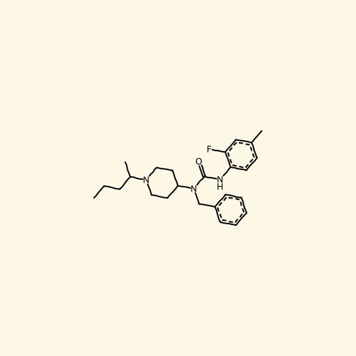 CCCC(C)N1CCC(N(Cc2ccccc2)C(=O)Nc2ccc(C)cc2F)CC1